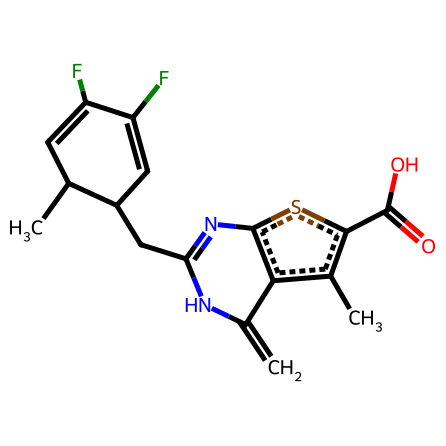 C=C1NC(CC2C=C(F)C(F)=CC2C)=Nc2sc(C(=O)O)c(C)c21